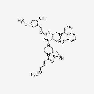 COC/C=C/C(=O)N1CCN(c2nc(OC[C@H]3C[C@@H](OC)CN3C)nc3c2CCN(c2cccc4cccc(C)c24)C3)C[C@@]1([SiH3])CC#N